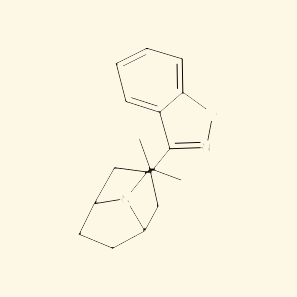 CC(C)N1C2CCC1CC(c1noc3ccccc13)C2